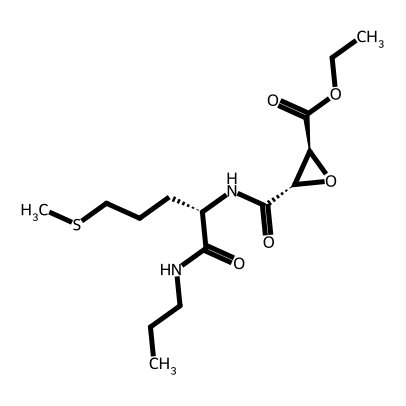 CCCNC(=O)[C@H](CCCSC)NC(=O)[C@H]1O[C@@H]1C(=O)OCC